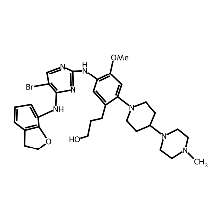 COc1cc(N2CCC(N3CCN(C)CC3)CC2)c(CCCO)cc1Nc1ncc(Br)c(Nc2cccc3c2OCC3)n1